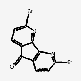 O=C1c2ccc(Br)nc2-c2nc(Br)ccc21